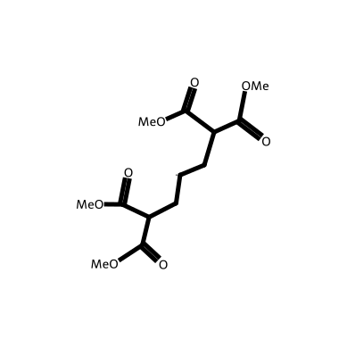 COC(=O)C(C[CH]CC(C(=O)OC)C(=O)OC)C(=O)OC